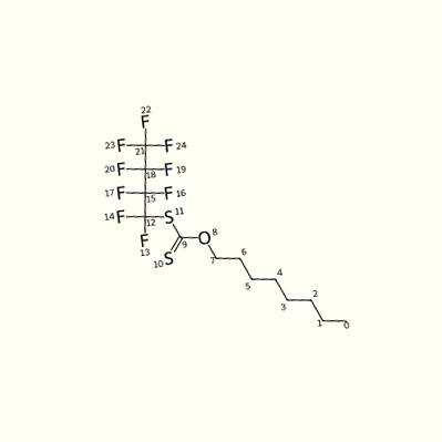 CCCCCCCCOC(=S)SC(F)(F)C(F)(F)C(F)(F)C(F)(F)F